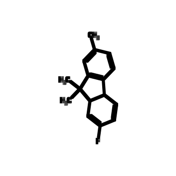 Cc1ccc2c(c1)C(C)(C)C1C=C(F)C=CC21